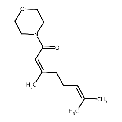 CC(C)=CCCC(C)=CC(=O)N1CCOCC1